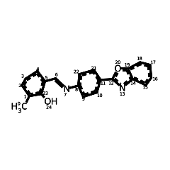 Cc1cccc(/C=N/c2ccc(-c3nc4ccccc4o3)cc2)c1O